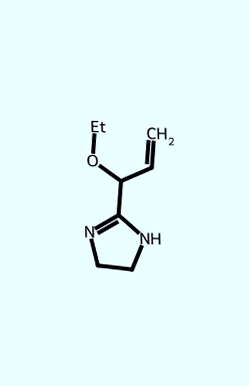 C=CC(OCC)C1=NCCN1